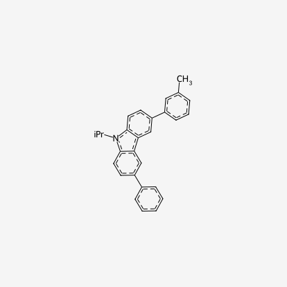 Cc1cccc(-c2ccc3c(c2)c2cc(-c4ccccc4)ccc2n3C(C)C)c1